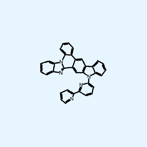 c1ccc(-c2cccc(-n3c4ccccc4c4cc5c6ccccc6n6c7ccccc7nc6c5cc43)n2)nc1